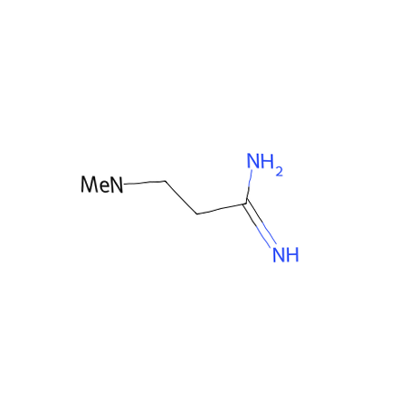 CNCCC(=N)N